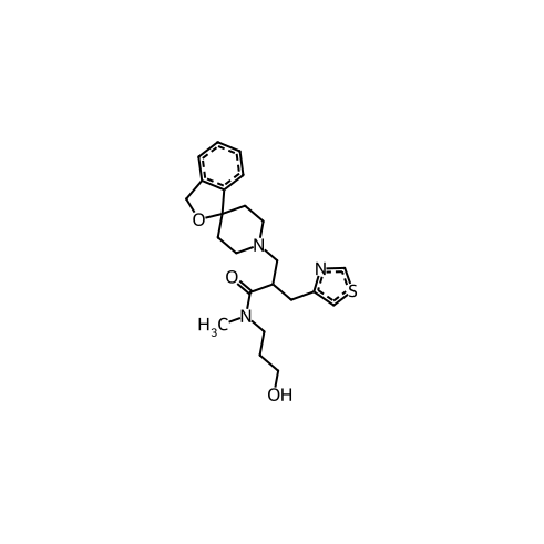 CN(CCCO)C(=O)C(Cc1cscn1)CN1CCC2(CC1)OCc1ccccc12